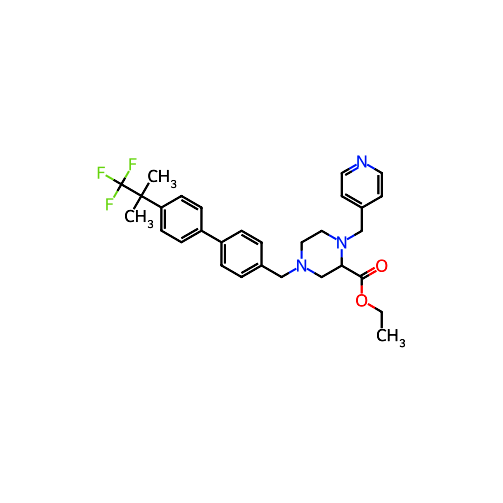 CCOC(=O)C1CN(Cc2ccc(-c3ccc(C(C)(C)C(F)(F)F)cc3)cc2)CCN1Cc1ccncc1